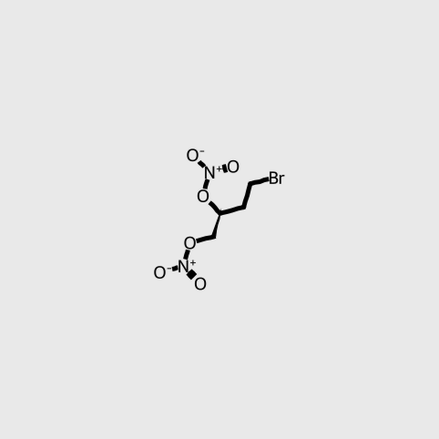 O=[N+]([O-])OC[C@H](CCBr)O[N+](=O)[O-]